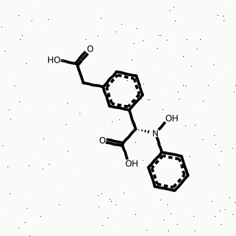 O=C(O)Cc1cccc([C@@H](C(=O)O)N(O)c2ccccc2)c1